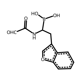 O=CC(=O)NC(Cc1coc2ccccc12)B(O)O